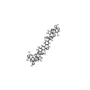 COC(=O)N[C@H](C(=O)N1[C@@H](C)CC[C@H]1c1ncc(-c2ccc3c(c2)COc2cc4c(ccc5nc([C@@H]6CCCN6C(=O)[C@@H](NC(=O)OC)C6C[C@@H](C)O[C@H](C)C6)[nH]c54)cc2-3)[nH]1)C(C)C